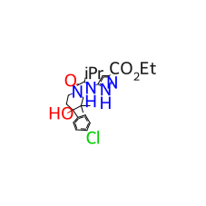 CCOC(=O)c1cc(NC(C(=O)N2CCC(O)(c3ccc(Cl)cc3)C(C)(C)C2)C(C)C)[nH]n1